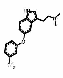 CN(C)CCc1c[nH]c2ccc(Oc3cccc(C(F)(F)F)c3)cc12